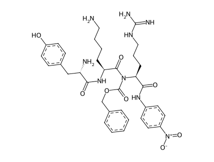 N=C(N)NCCC[C@@H](C(=O)Nc1ccc([N+](=O)[O-])cc1)N(C(=O)OCc1ccccc1)C(=O)[C@H](CCCCN)NC(=O)[C@@H](N)Cc1ccc(O)cc1